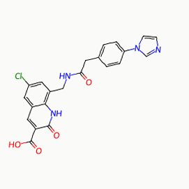 O=C(Cc1ccc(-n2ccnc2)cc1)NCc1cc(Cl)cc2cc(C(=O)O)c(=O)[nH]c12